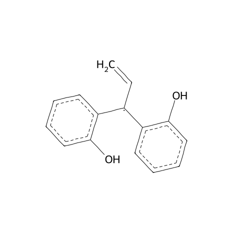 C=C[C](c1ccccc1O)c1ccccc1O